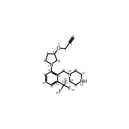 C#CCOC1CCN(c2cccc(C(F)(F)F)c2CN2CCNCC2)C1